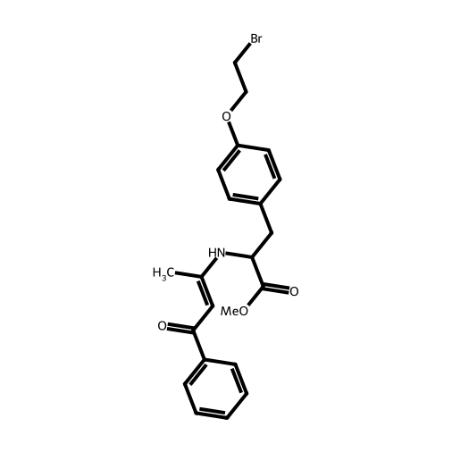 COC(=O)C(Cc1ccc(OCCBr)cc1)NC(C)=CC(=O)c1ccccc1